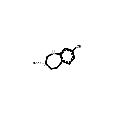 C[C@H]1CCc2ccc(O)cc2NC1